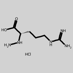 Cl.N=C(N)NCCC[C@H](NN)C(=O)O